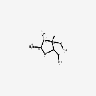 B[C@@H]1OC(CO)[C@@](C)(CO)[C@H]1O